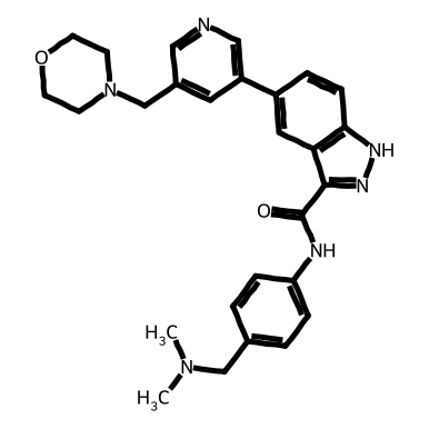 CN(C)Cc1ccc(NC(=O)c2n[nH]c3ccc(-c4cncc(CN5CCOCC5)c4)cc23)cc1